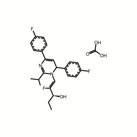 CC[C@H](O)/C(F)=C/N1C(C(C)C)=NC(c2ccc(F)cc2)=CC1c1ccc(F)cc1.O=C(O)O